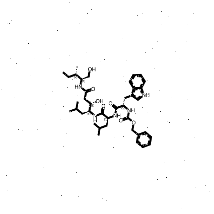 CC[C@H](C)[C@@H](CO)NC(=O)C[C@H](O)[C@H](CC(C)C)NC(=O)[C@H](CC(C)C)NC(=O)[C@H](Cc1c[nH]c2ccccc12)NC(=O)OCc1ccccc1